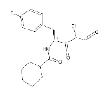 O=CC(Cl)C(=O)[C@H](Cc1ccc(F)cc1)NC(=O)C1CCCCC1